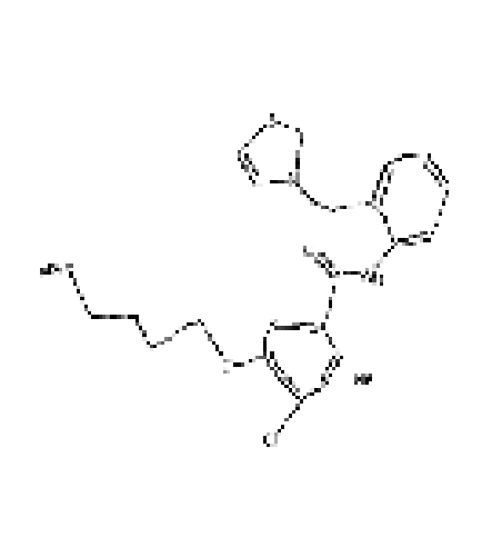 Br.CCCCCCCCCCCCCCOc1cc(C(=O)Nc2ccccc2CN2C=CSC2)ccc1Cl